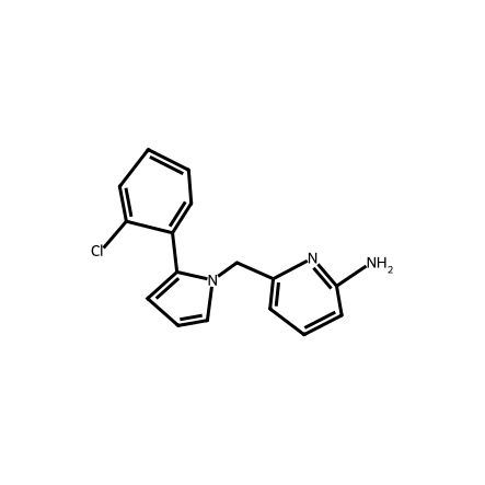 Nc1cccc(Cn2cccc2-c2ccccc2Cl)n1